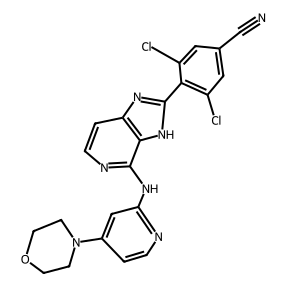 N#Cc1cc(Cl)c(-c2nc3ccnc(Nc4cc(N5CCOCC5)ccn4)c3[nH]2)c(Cl)c1